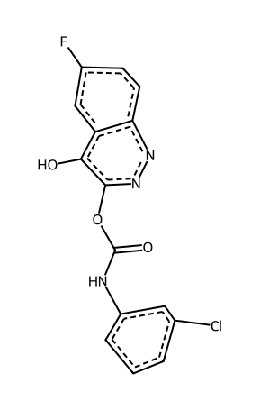 O=C(Nc1cccc(Cl)c1)Oc1nnc2ccc(F)cc2c1O